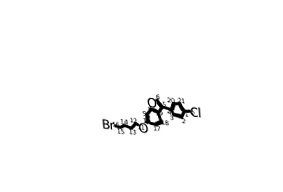 Clc1ccc(-c2coc3cc(OCCCCBr)ccc23)cc1